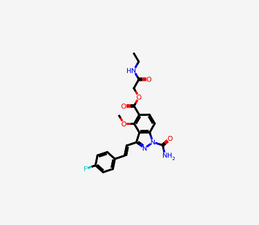 CCNC(=O)COC(=O)c1ccc2c(c(C=Cc3ccc(F)cc3)nn2C(N)=O)c1OC